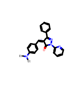 CCN(CC)c1ccc(/C=C2\C(=O)N(c3ccccn3)N=C2c2ccccc2)cc1